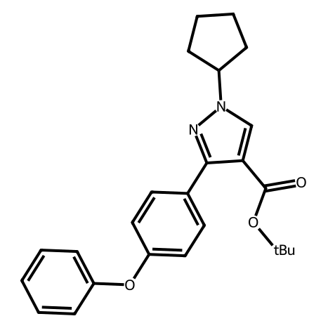 CC(C)(C)OC(=O)c1cn(C2CCCC2)nc1-c1ccc(Oc2ccccc2)cc1